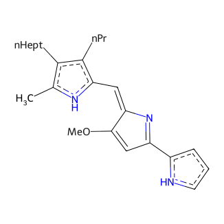 CCCCCCCc1c(C)[nH]c(C=C2N=C(c3ccc[nH]3)C=C2OC)c1CCC